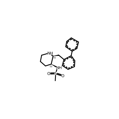 CS(=O)(=O)N[C@H]1CCCN[C@H]1Cc1ccccc1-c1ccccc1